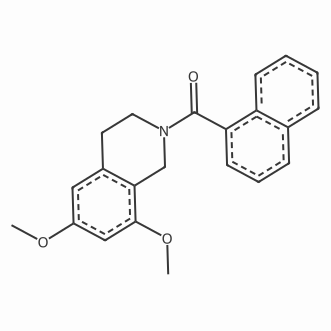 COc1cc2c(c(OC)c1)CN(C(=O)c1cccc3ccccc13)CC2